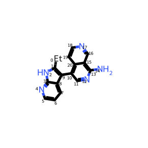 CCc1[nH]c2ncccc2c1-c1cnc(N)c2cnccc12